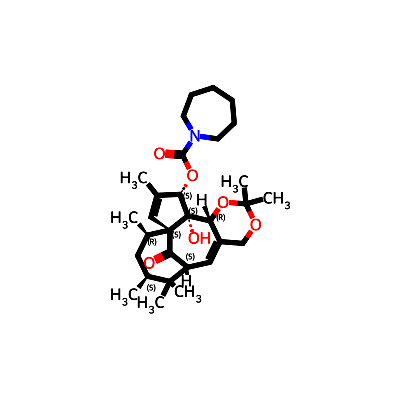 CC1=C[C@]23C(=O)[C@@H](C=C4COC(C)(C)O[C@H]4[C@]2(O)[C@H]1OC(=O)N1CCCCCC1)C(C)(C)[C@@H](C)C[C@H]3C